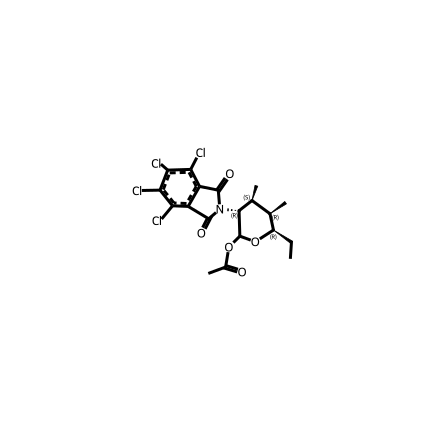 CC[C@H]1OC(OC(C)=O)[C@H](N2C(=O)c3c(Cl)c(Cl)c(Cl)c(Cl)c3C2=O)[C@@H](C)[C@H]1C